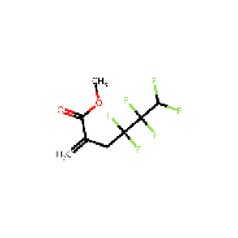 C=C(CC(F)(F)C(F)(F)C(F)F)C(=O)OC